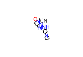 CC(C#N)n1c(=O)ccc2cnc(Nc3ccc(N4CCCCC4)cc3)nc21